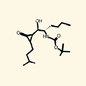 CCCC[C@H](NC(=O)OC(C)(C)C)C(O)C1C(=O)C1CCC(C)C